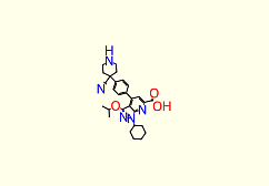 CC(C)Oc1nn(C2CCCCC2)c2nc(C(=O)O)cc(-c3ccc(C4(C#N)CCNCC4)cc3)c12